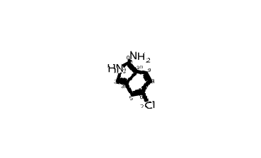 Nc1[nH]cc2cc(Cl)ccc12